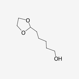 OCCCCCC1OCCO1